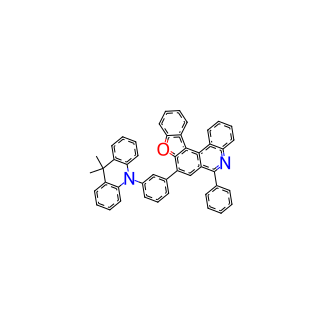 CC1(C)c2ccccc2N(c2cccc(-c3cc4c(-c5ccccc5)nc5ccccc5c4c4c3oc3ccccc34)c2)c2ccccc21